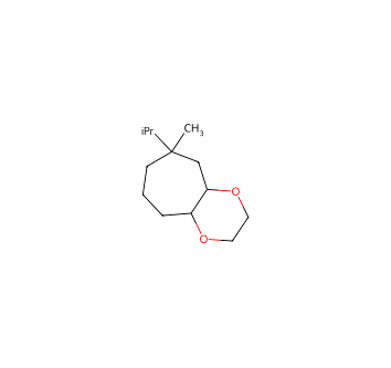 CC(C)C1(C)CCCC2OCCOC2C1